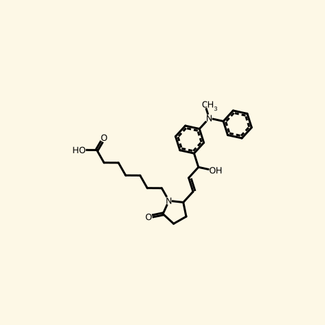 CN(c1ccccc1)c1cccc(C(O)C=CC2CCC(=O)N2CCCCCCC(=O)O)c1